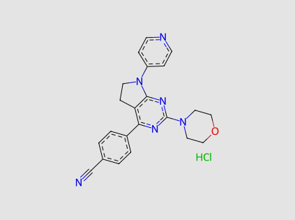 Cl.N#Cc1ccc(-c2nc(N3CCOCC3)nc3c2CCN3c2ccncc2)cc1